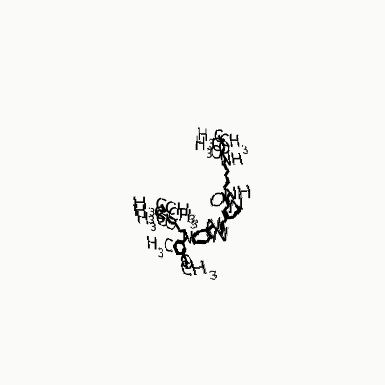 COc1cc(C)cc(N(CCCO[Si](C)(C)C(C)(C)C)c2ccc3ncc(-c4ccnc(C(=O)NCCCCCNC(=O)OC(C)(C)C)c4)nc3c2)c1